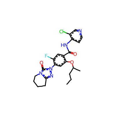 CCCC(C)Oc1cc(-n2nc3n(c2=O)CCCC3)c(F)cc1C(=O)Nc1ccncc1Cl